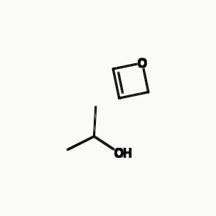 C1=COC1.CC(C)O